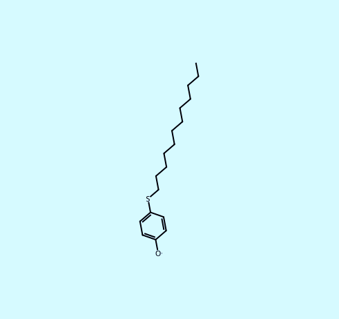 CCCCCCCCCCCCSc1ccc([O])cc1